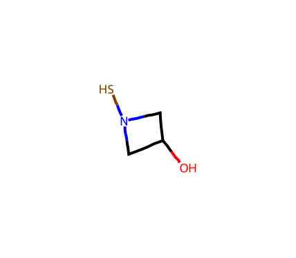 OC1CN(S)C1